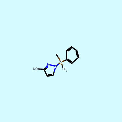 CS(c1ccccc1)(n1ccc(C#N)n1)C(F)(F)F